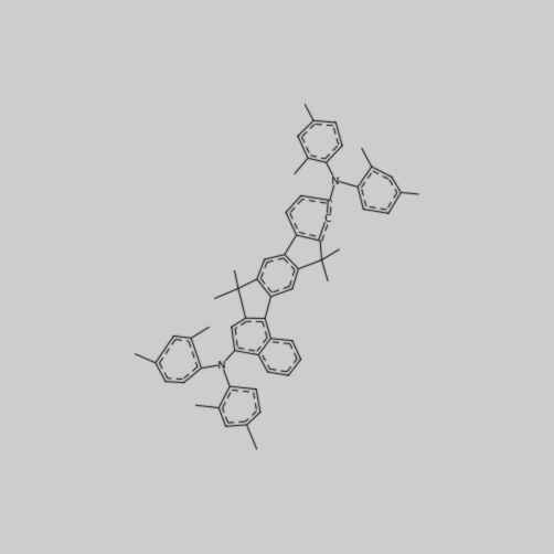 Cc1ccc(N(c2ccc3c(c2)C(C)(C)c2cc4c(cc2-3)C(C)(C)c2cc(N(c3ccc(C)cc3C)c3ccc(C)cc3C)c3ccccc3c2-4)c2ccc(C)cc2C)c(C)c1